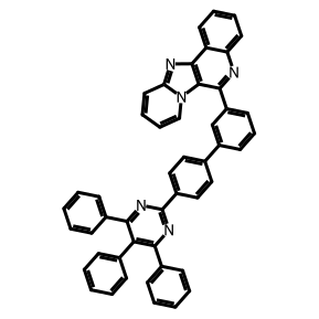 c1ccc(-c2nc(-c3ccc(-c4cccc(-c5nc6ccccc6c6nc7ccccn7c56)c4)cc3)nc(-c3ccccc3)c2-c2ccccc2)cc1